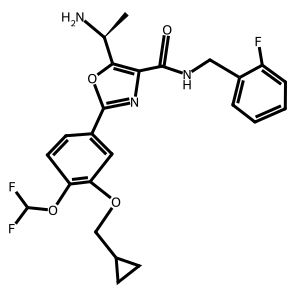 C[C@H](N)c1oc(-c2ccc(OC(F)F)c(OCC3CC3)c2)nc1C(=O)NCc1ccccc1F